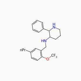 CCCc1ccc(OC(F)(F)F)c(CNC2CCCNC2c2ccccc2)c1